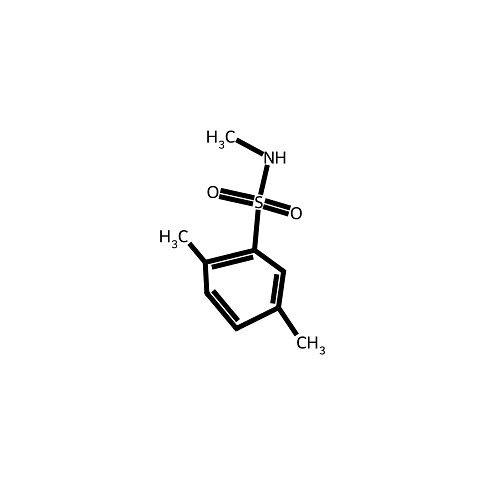 CNS(=O)(=O)c1cc(C)ccc1C